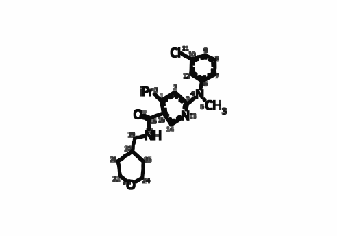 CC(C)c1cc(N(C)c2cccc(Cl)c2)ncc1C(=O)NCC1CCOCC1